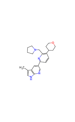 Cc1c[nH]c2ncc(-c3ccc(C4CCOCC4)c(CN4CCCC4)n3)cc12